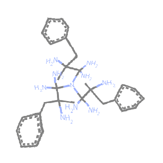 CC(N)(Cc1ccccc1)C(N)(N)N(C(N)(N)C(C)(N)Cc1ccccc1)C(N)(N)C(C)(N)Cc1ccccc1